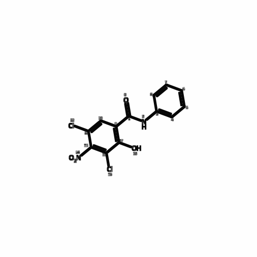 O=C(Nc1ccccc1)c1cc(Cl)c([N+](=O)[O-])c(Cl)c1O